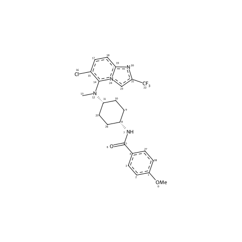 COc1ccc(C(=O)N[C@H]2CC[C@@H](N(C)c3c(Cl)ccc4nc(C(F)(F)F)cn34)CC2)cc1